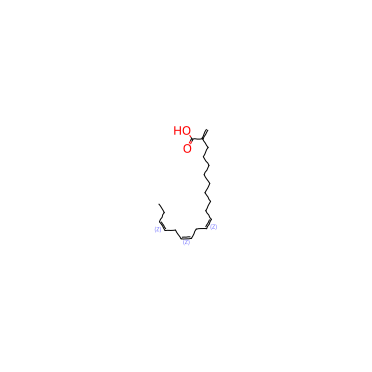 C=C(CCCCCCCC/C=C\C/C=C\C/C=C\CC)C(=O)O